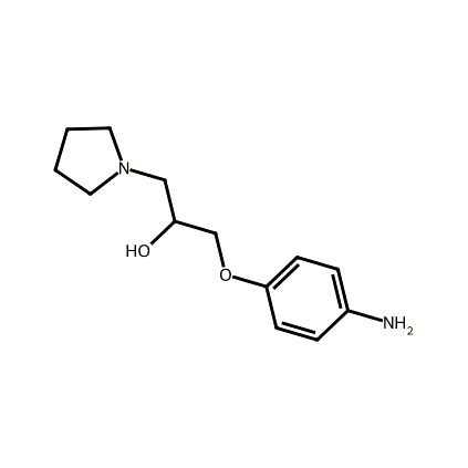 Nc1ccc(OCC(O)CN2CCCC2)cc1